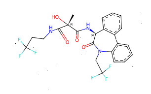 C[C@](O)(C(=O)NCCC(F)(F)F)C(=O)N[C@@H]1C(=O)N(CC(F)(F)F)c2ccccc2-c2ccccc21